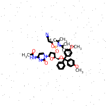 COc1ccc(C(OC[C@H]2O[C@@H](n3ccc(NC(C)=O)nc3=O)C[C@@H]2OP(OCCC#N)N(C(C)C)C(C)C)(c2ccccc2)c2ccc(OC)cc2)cc1